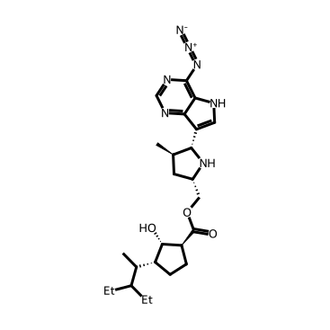 CCC(CC)C(C)[C@H]1CC[C@H](C(=O)OC[C@@H]2C[C@@H](C)[C@H](c3c[nH]c4c(N=[N+]=[N-])ncnc34)N2)[C@H]1O